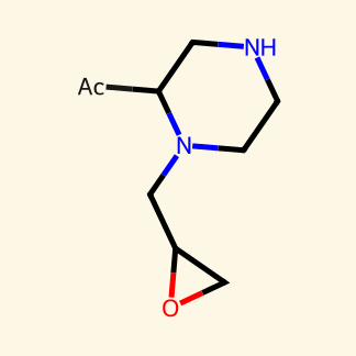 CC(=O)C1CNCCN1CC1CO1